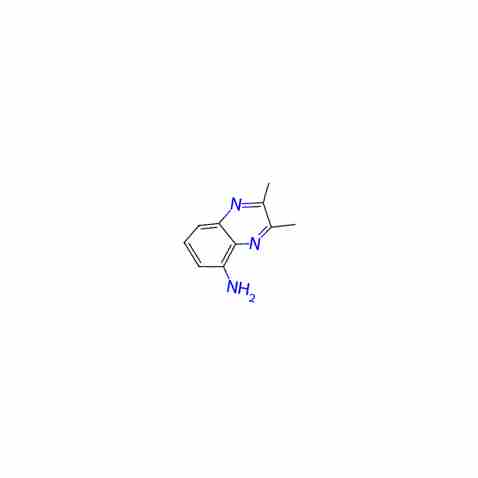 Cc1nc2cccc(N)c2nc1C